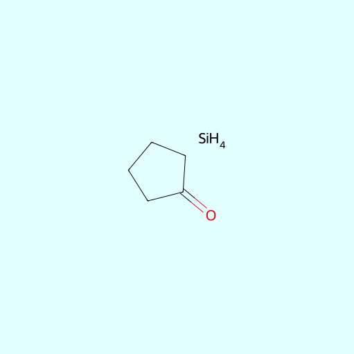 O=C1CCCC1.[SiH4]